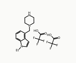 CCn1ccc2c(CN3CCNCC3)cccc21.O=C(O)C(F)(F)F.O=C(O)C(F)(F)F